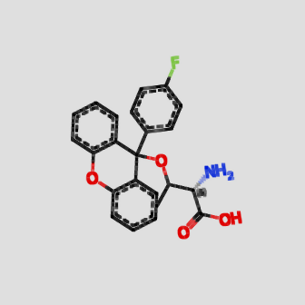 CC(OC1(c2ccc(F)cc2)c2ccccc2Oc2ccccc21)[C@H](N)C(=O)O